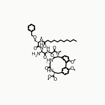 CCCCCCCCCCC(=O)N(C)[C@H](COCc1ccccc1)C(=O)N[C@H](N)C(=O)NCC(=O)N(C)[C@@H]1C(=O)N[C@@H](C)C(=O)N[C@H](C(=O)OC)Cc2ccc(OC)c(c2)-c2cc1ccc2OC